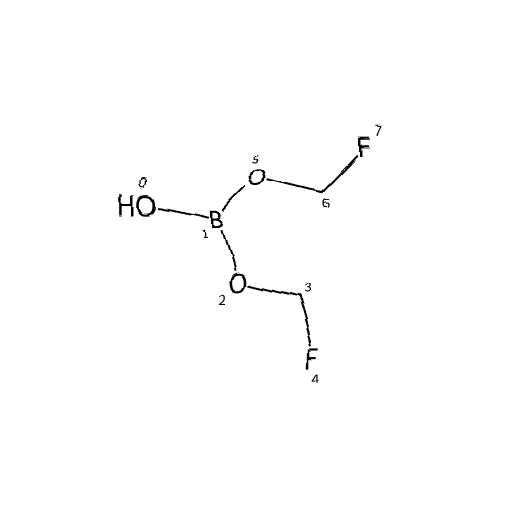 OB(OCF)OCF